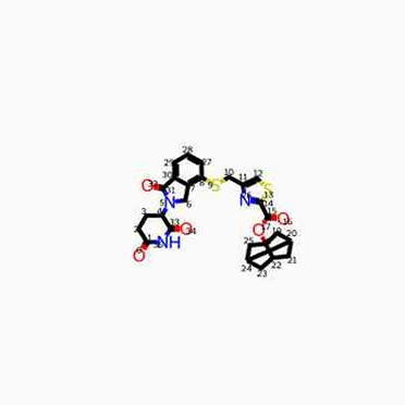 O=C1CCC(N2Cc3c(SCc4csc(C(=O)OC56CC7CC5CC7C6)n4)cccc3C2=O)C(=O)N1